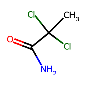 CC(Cl)(Cl)C(N)=O